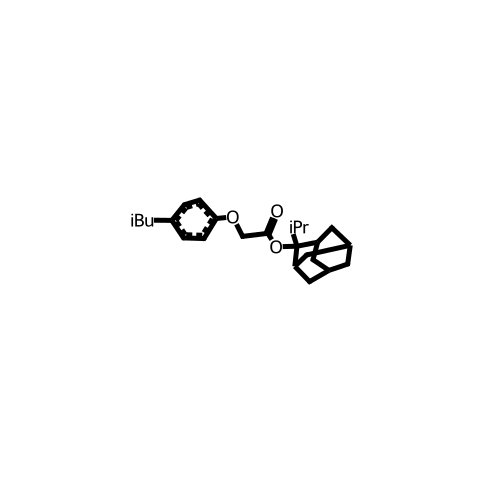 CCC(C)c1ccc(OCC(=O)OC2(C(C)C)C3CC4CC(C3)CC2C4)cc1